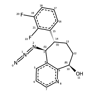 [N-]=[N+]=N[C@@H]1c2cccnc2[C@H](O)CC[C@H]1c1cccc(F)c1F